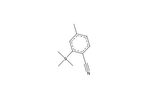 Cc1ccc(C#N)c([Si](C)(C)C)c1